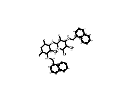 CCC1OC(OC2C(C)CC(C)C(OCc3cccc4ccccc34)C2O)C(C)C(OCc2cccc3ccccc23)C1O